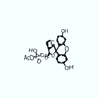 CC(=O)OP(=O)(O)OC(C)=O.O=C1OC2(c3ccc(O)cc3Oc3cc(O)ccc32)c2ccccc21